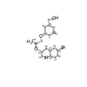 C[C@@H](COc1cncc(CO)c1)Oc1cnc2ccc(Br)cc2c1